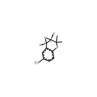 CC1(C)Oc2ccc([N+](=O)[O-])cc2[C@@H]2O[C@@H]21